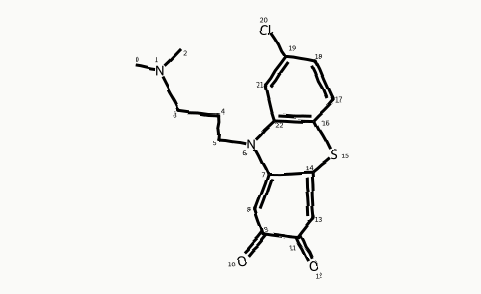 CN(C)CCCn1c2cc(=O)c(=O)cc-2sc2ccc(Cl)cc21